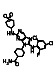 NC(=O)[C@H]1CC[C@@H](n2c(Nc3c(F)cc(Cl)cc3Cl)nc3cnc(NC4CCS(=O)(=O)CC4)nc32)CC1